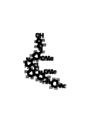 COc1cc(-c2nccc(-c3cccc(-c4ccc(CNC5CCN(C(C)=O)CC5)c(OC)n4)c3Cl)c2Cl)ccc1CN1CC2(CC(O)C2)C1